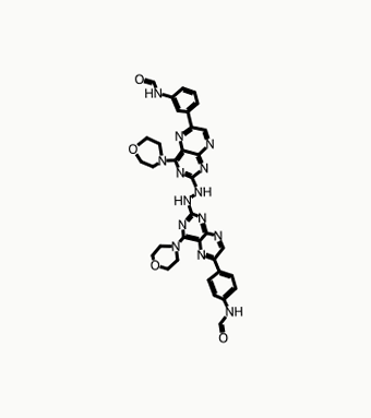 O=CNc1ccc(-c2cnc3nc(NNc4nc(N5CCOCC5)c5nc(-c6cccc(NC=O)c6)cnc5n4)nc(N4CCOCC4)c3n2)cc1